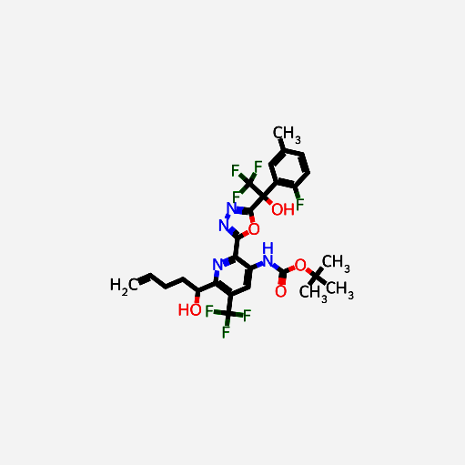 C=CCCC(O)c1nc(-c2nnc(C(O)(c3cc(C)ccc3F)C(F)(F)F)o2)c(NC(=O)OC(C)(C)C)cc1C(F)(F)F